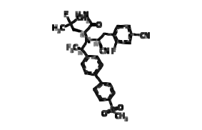 CC(C)(F)C[C@@H](C(N)=O)N([C@H](C#N)Cc1ccc(C#N)cc1F)[C@@H](c1ccc(-c2ccc(S(C)(=O)=O)cc2)cc1)C(F)(F)F